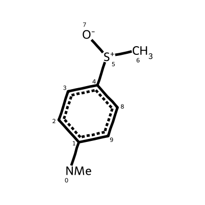 CNc1ccc([S+](C)[O-])cc1